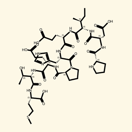 CC[C@H](C)[C@H](NC(=O)[C@H](CC(=O)O)NC(=O)[C@@H]1CCCN1)C(=O)N[C@@H](CCC(=O)O)C(=O)N[C@@H](Cc1c[nH]cn1)C(=O)N1CCC[C@H]1C(=O)N[C@@H](CCC(=O)O)C(=O)N[C@H](C(=O)N[C@@H](CCSC)C(=O)O)[C@@H](C)O